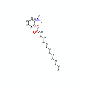 CCCCCCCCCCCCCCC(=O)Oc1ccccc1N(C)C